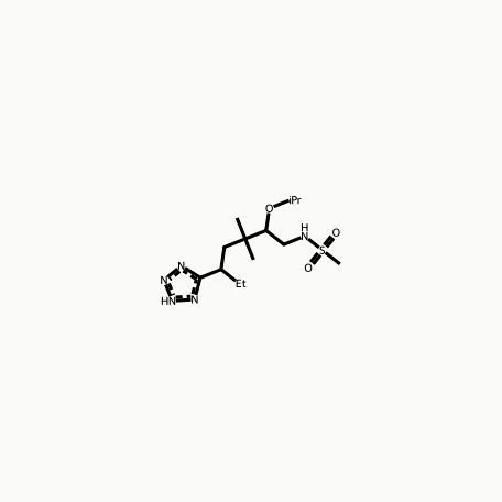 CCC(CC(C)(C)C(CNS(C)(=O)=O)OC(C)C)c1nn[nH]n1